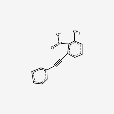 Cc1cccc(C#Cc2ccccc2)c1[N+](=O)[O-]